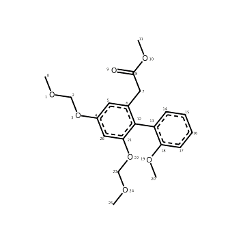 COCOc1cc(CC(=O)OC)c(-c2ccccc2OC)c(OCOC)c1